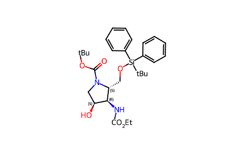 CCOC(=O)N[C@@H]1[C@@H](CO[Si](c2ccccc2)(c2ccccc2)C(C)(C)C)N(C(=O)OC(C)(C)C)C[C@@H]1O